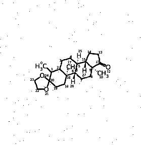 CC1C2CC[C@@H]3[C@H](CC[C@]4(C)C(=O)CC[C@@H]34)[C@@]2(C)CCC12OCCO2